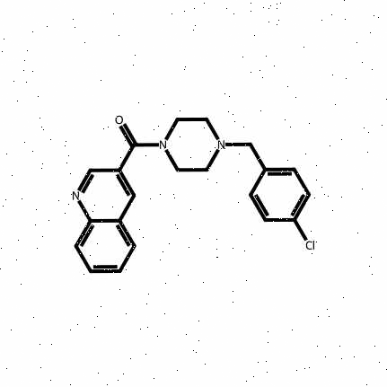 O=C(c1cnc2ccccc2c1)N1CCN(Cc2ccc(Cl)cc2)CC1